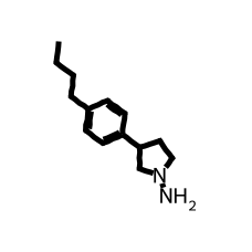 CCCCc1ccc(C2CCN(N)C2)cc1